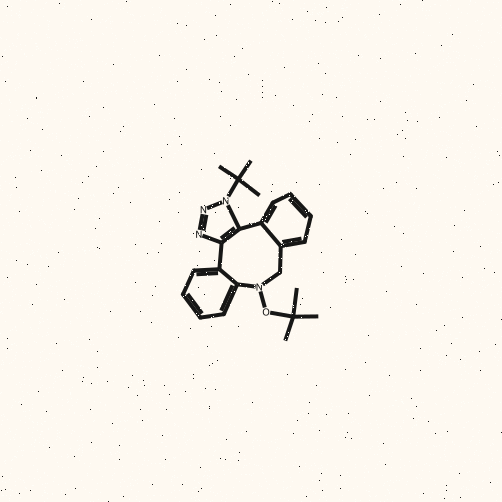 CC(C)(C)ON1Cc2ccccc2-c2c(nnn2C(C)(C)C)-c2ccccc21